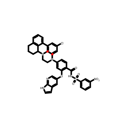 O=C(NS(=O)(=O)c1cccc([N+](=O)[O-])c1)c1ccc(N2CCN(C3CCCc4cccc(-c5cccc(Cl)c5)c43)CC2)cc1Oc1cnc2[nH]ccc2c1